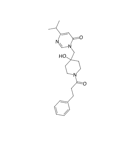 CC(C)c1cc(=O)n(CC2(O)CCN(C(=O)CCc3ccccc3)CC2)cn1